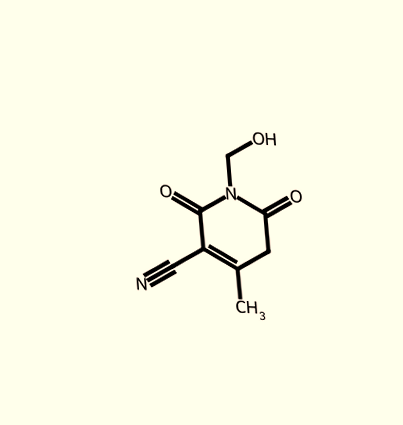 CC1=C(C#N)C(=O)N(CO)C(=O)C1